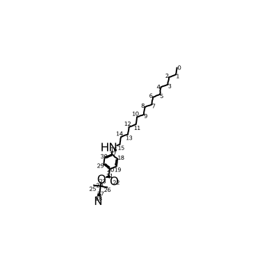 CCCCCCCCCCCCCCCCNc1ccc(C(=O)OC(C)(C)C#N)cc1